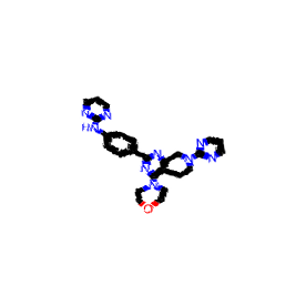 c1cnc(Nc2ccc(-c3nc4c(c(N5CCOCC5)n3)CCN(c3ncccn3)C4)cc2)nc1